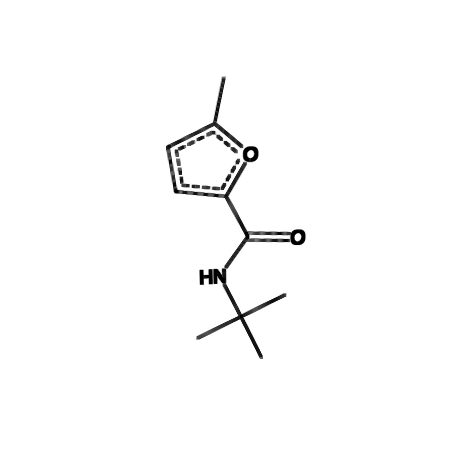 Cc1ccc(C(=O)NC(C)(C)C)o1